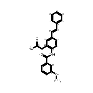 COc1cccc(C(=O)Nc2ccc(C=Cc3ccccc3)cc2CC(=O)O)c1